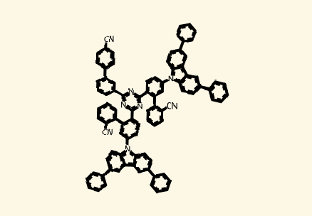 N#Cc1ccc(-c2cccc(-c3nc(-c4ccc(-n5c6ccc(-c7ccccc7)cc6c6cc(-c7ccccc7)ccc65)cc4-c4ccccc4C#N)nc(-c4ccc(-n5c6ccc(-c7ccccc7)cc6c6cc(-c7ccccc7)ccc65)cc4-c4ccccc4C#N)n3)c2)cc1